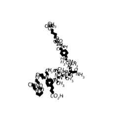 CN(C)/N=N/c1[nH]cnc1C(N)=O.CN(C)c1nc(N(C)C)nc(N(C)C)n1.CNNCc1ccc(C(=O)NC(C)C)cc1.CS(=O)(=O)OCCCCOS(C)(=O)=O.O=C(O)CCCc1ccc(N(CCCl)CCCl)cc1.O=P1(NCCCl)OCCCN1CCCl